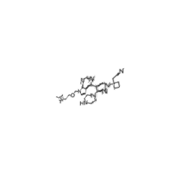 C[Si](C)(C)CCOCn1ccc2c(-c3cn(C4(CC#N)CCC4)nc3N3CCNCC3)ncnc21